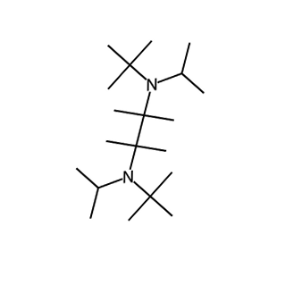 CC(C)N(C(C)(C)C)C(C)(C)C(C)(C)N(C(C)C)C(C)(C)C